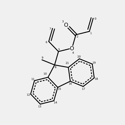 C=CC(=O)OC(C=C)C1(C)c2ccccc2-c2ccccc21